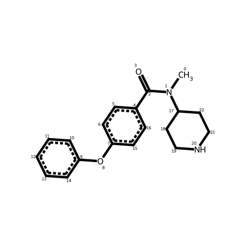 CN(C(=O)c1ccc(Oc2ccccc2)cc1)C1CCNCC1